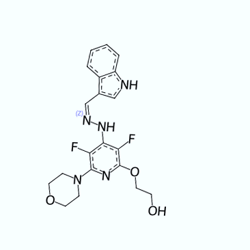 OCCOc1nc(N2CCOCC2)c(F)c(N/N=C\c2c[nH]c3ccccc23)c1F